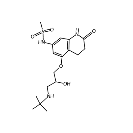 CC(C)(C)NCC(O)COc1cc(NS(C)(=O)=O)cc2c1CCC(=O)N2